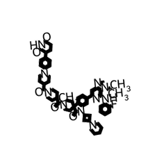 CC(C)n1cnc2cc(-c3ccc4c(c3)N([C@H]3C[C@@H](N5CCCCC5)C3)C(=O)C43CCN(C(=O)C4(C)CCN(C(=O)C5CCN(c6ccc(C7CCC(=O)NC7=O)cc6)CC5)CC4)CC3)nc(Nc3ccccc3F)c21